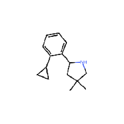 CC1(C)CNC(c2ccccc2C2CC2)C1